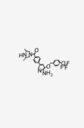 CC1CN(C(=O)c2ccc(-c3cnc(N)c(OCc4ccc(OC(F)(F)F)cc4)c3)cc2)CC(C)N1